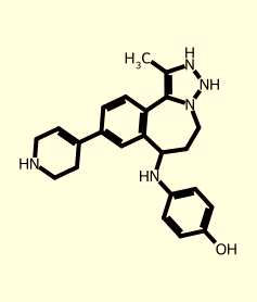 CC1=C2c3ccc(C4=CCNCC4)cc3C(Nc3ccc(O)cc3)CCN2NN1